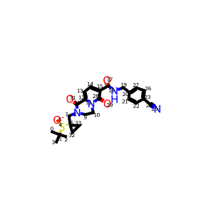 CC(C)(C)[S+]([O-])C1(CN2CCn3c(ccc(C(=O)NCc4ccc(C#N)cc4)c3=O)C2=O)CC1